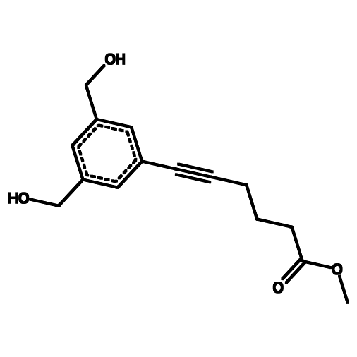 COC(=O)CCCC#Cc1cc(CO)cc(CO)c1